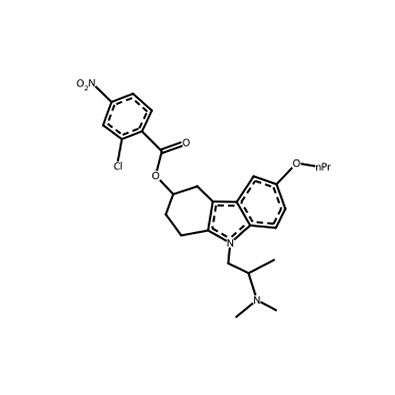 CCCOc1ccc2c(c1)c1c(n2CC(C)N(C)C)CCC(OC(=O)c2ccc([N+](=O)[O-])cc2Cl)C1